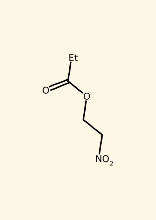 CCC(=O)OCC[N+](=O)[O-]